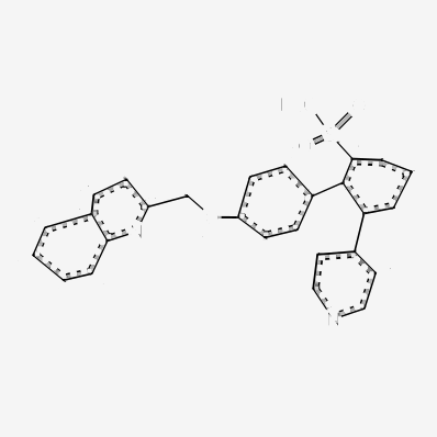 CS(=O)(=O)c1cccc(-c2ccncc2)c1-c1ccc(OCc2ccc3ccccc3n2)cc1